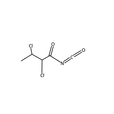 CC(Cl)C(Cl)C(=O)N=C=O